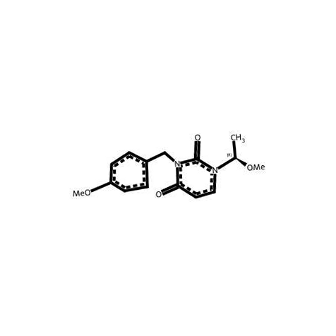 COc1ccc(Cn2c(=O)ccn([C@@H](C)OC)c2=O)cc1